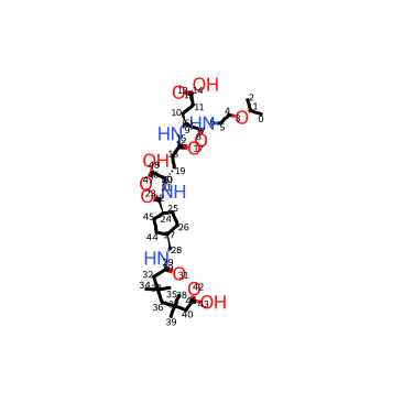 CC(C)OCCNC(=O)[C@H](CCC(=O)O)NC(=O)CC[C@H](NC(=O)[C@H]1CC[C@@H](CNC(=O)CC(C)(C)CC(C)(C)CC(=O)O)CC1)C(=O)O